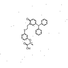 C[C@H](Oc1cccc(SCCn2cc(C(c3ccccc3)c3ccccc3)ccc2=O)c1)C(=O)O